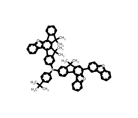 CC(C)(C)c1ccc(N(c2ccc3c(c2)C(C)(C)c2cc(-c4ccc5oc6ccccc6c5c4)c4oc5ccccc5c4c2-3)c2ccc3c(c2)C(C)(C)c2c4c(c5oc6ccccc6c5c2-3)-c2ccccc2C4(C)C)cc1